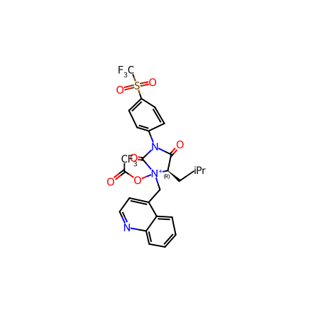 CC(C)C[C@@H]1C(=O)N(c2ccc(S(=O)(=O)C(F)(F)F)cc2)C(=O)[N+]1(Cc1ccnc2ccccc12)OC(=O)C(F)(F)F